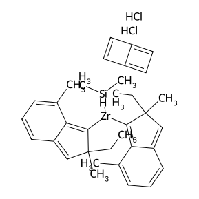 CCC1(C)C=c2cccc(C)c2=[C]1[Zr]([C]1=c2c(C)cccc2=CC1(C)CC)[SiH](C)C.Cl.Cl.c1cc2ccc1-2